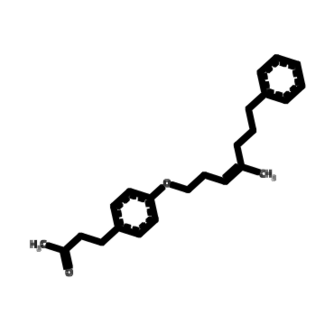 CC(=O)CCc1ccc(OCCC=C(C)CCCc2ccccc2)cc1